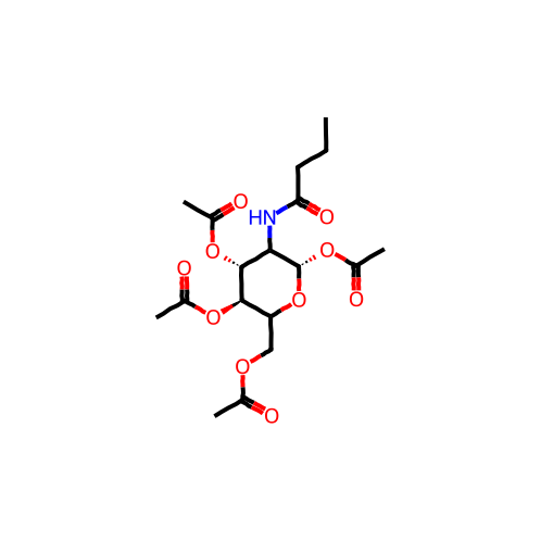 CCCC(=O)NC1[C@H](OC(C)=O)OC(COC(C)=O)[C@@H](OC(C)=O)[C@@H]1OC(C)=O